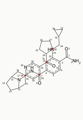 NC(=O)c1ccc(C(=O)NC2CC3CCC(C2)N3c2ccc(C(=O)C3CCCC3)cn2)cc1NCC1CC1